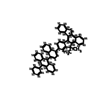 CC1(C)c2cc(-c3ccc(-c4c5ccccc5c(-c5ccccc5)c5ccccc45)c4ccccc34)ccc2-c2c1c1ccccc1c1sc3ccccc3c21